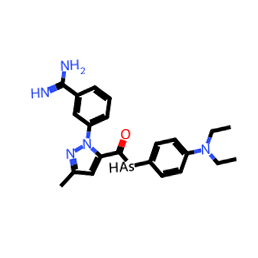 CCN(CC)c1ccc([AsH]C(=O)c2cc(C)nn2-c2cccc(C(=N)N)c2)cc1